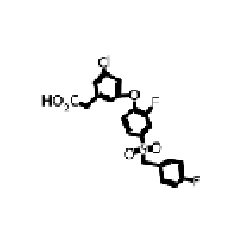 O=C(O)Cc1cc(Cl)cc(Oc2ccc(S(=O)(=O)Cc3ccc(F)cc3)cc2F)c1